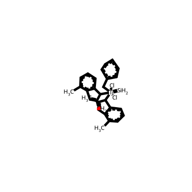 CC1=Cc2c(C)cccc2[CH]1[Ti](=[SiH2])([Cl])([Cl])([CH2]c1ccccc1)[CH]1C(C)=Cc2c(C)cccc21